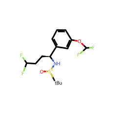 CC(C)(C)[S+]([O-])N[C@@H](CCC(F)F)c1cccc(OC(F)F)c1